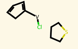 C1CCSC1.[Cl][V][C]1=CC=CC1